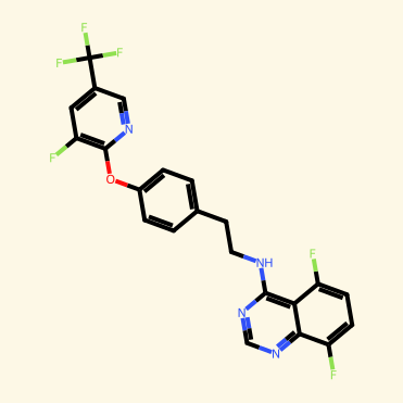 Fc1cc(C(F)(F)F)cnc1Oc1ccc(CCNc2ncnc3c(F)ccc(F)c23)cc1